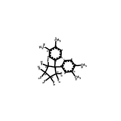 Cc1ccc(C2(c3ccc(C)c(C)c3)C(F)(F)C(F)(F)C(F)(F)C2(F)F)cc1C